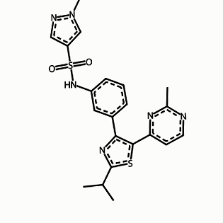 Cc1nccc(-c2sc(C(C)C)nc2-c2cccc(NS(=O)(=O)c3cnn(C)c3)c2)n1